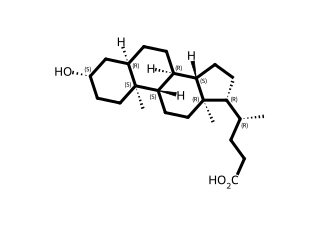 C[C@H](CCC(=O)O)[C@H]1CC[C@H]2[C@@H]3CC[C@@H]4C[C@@H](O)CC[C@]4(C)[C@H]3CC[C@]12C